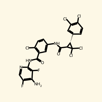 Nc1c(F)cnc(NC(=O)c2cc(NC(=O)C3[C@H](c4ccc(Cl)c(Cl)c4)C3(Cl)Cl)ccc2Cl)c1F